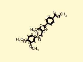 COC(=O)c1ccc(-c2nc(CS(=O)(=O)c3ccc(OC)c(OC)c3)c(C)o2)cc1